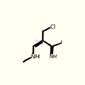 CN/C=C(/CCl)C(=N)I